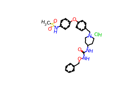 CS(=O)(=O)Nc1ccc(Oc2ccc(CN3CCC(NC(=O)NOCc4ccccc4)CC3)cc2)cc1.Cl